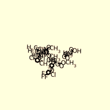 CCOC(=O)COC(=O)c1cc(Oc2ccc(C(F)(F)F)cc2Cl)ccc1[N+](=O)[O-].COc1cc(OC)n2nc(S(=O)(=O)Nc3c(Cl)ccc(C)c3Cl)nc2n1.C[S+](C)C.O=C(O)CNCP(=O)([O-])O